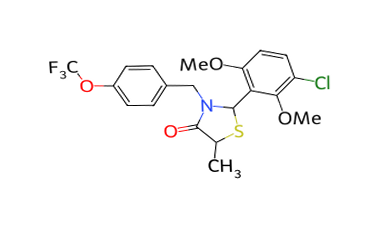 COc1ccc(Cl)c(OC)c1C1SC(C)C(=O)N1Cc1ccc(OC(F)(F)F)cc1